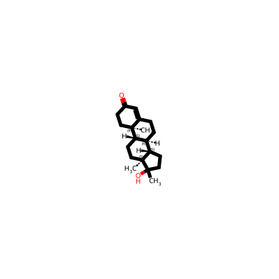 CC1(O)CC[C@H]2[C@@H]3CCC4=CC(=O)CC[C@]4(C)[C@H]3CC[C@@]21C